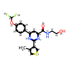 Cc1cscc1-c1nc(C(=O)NCCO)cc(-c2ccc(OC(F)F)cc2)n1